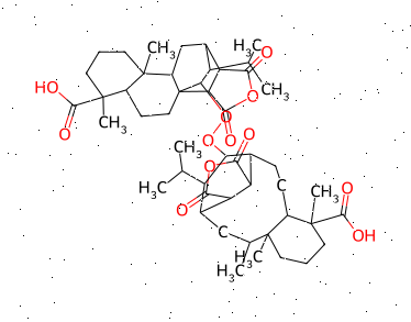 CC(C)C1C2CC(C)C3(C)CCCC(C)(C(=O)O)C3CCC(C1OOC1C(C(C)C)C3CC4C5(C)CCCC(C)(C(=O)O)C5CCC14C1C(=O)OC(=O)C31)C1C(=O)OC(=O)C21